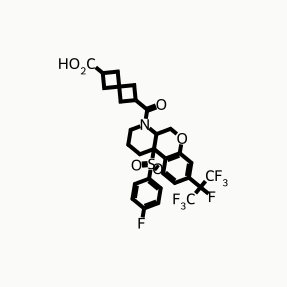 O=C(O)C1CC2(C1)CC(C(=O)N1CCCC3(S(=O)(=O)c4ccc(F)cc4)c4ccc(C(F)(C(F)(F)F)C(F)(F)F)cc4OCC13)C2